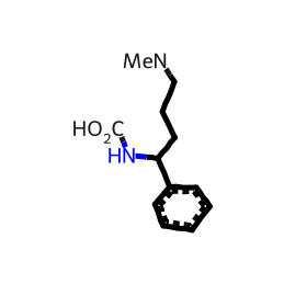 CNCCCC(NC(=O)O)c1ccccc1